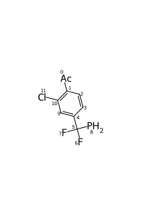 CC(=O)c1ccc(C(F)(F)P)cc1Cl